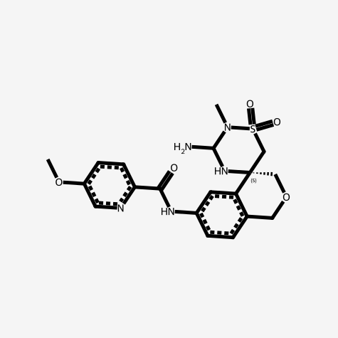 COc1ccc(C(=O)Nc2ccc3c(c2)[C@]2(COC3)CS(=O)(=O)N(C)C(N)N2)nc1